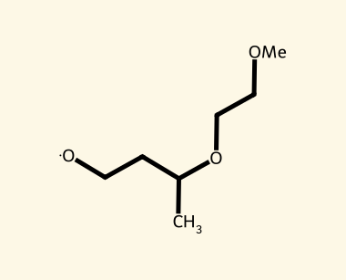 COCCOC(C)CC[O]